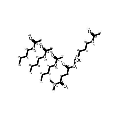 CCCCOC(=O)CCC(=O)N(C)C.CCCCOC(C)=O.CCCCOC(C)=O.CCCCOC(C)=O.CCCCOC(C)=O